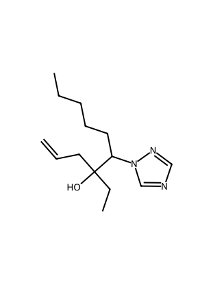 C=CCC(O)(CC)C(CCCCC)n1cncn1